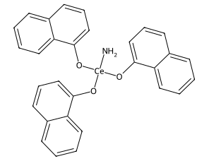 [NH2][Ce]([O]c1cccc2ccccc12)([O]c1cccc2ccccc12)[O]c1cccc2ccccc12